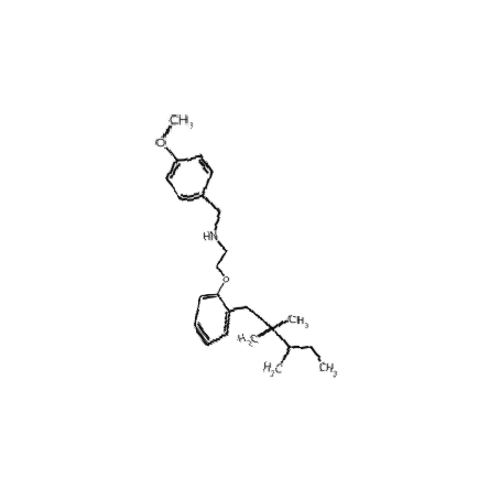 [CH2]C(C)(Cc1ccccc1OCCNCc1ccc(OC)cc1)C(C)CC